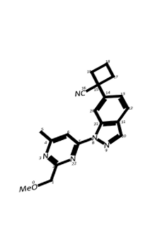 COCc1nc(C)cc(-n2ncc3ccc(C4(C#N)CCC4)cc32)n1